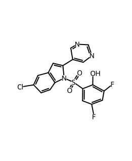 O=S(=O)(c1cc(F)cc(F)c1O)n1c(-c2cncnc2)cc2cc(Cl)ccc21